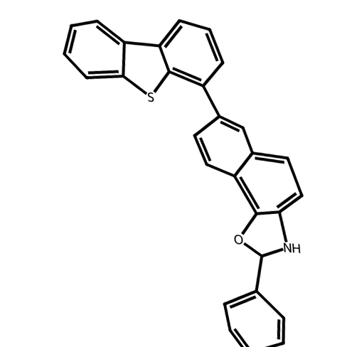 c1ccc(C2Nc3ccc4cc(-c5cccc6c5sc5ccccc56)ccc4c3O2)cc1